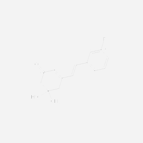 CC1(C)CC(=O)C=C(/C=C/c2cccc(F)c2)C1